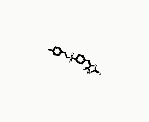 Cc1ccc(CCS(=O)(=O)c2ccc(/C=C3/OC(=O)NC3=O)cc2)cc1